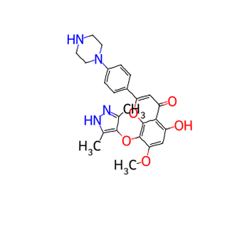 COc1cc(O)c2c(=O)cc(-c3ccc(N4CCNCC4)cc3)oc2c1Oc1c(C)n[nH]c1C